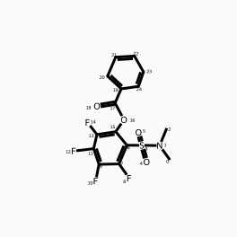 CN(C)S(=O)(=O)c1c(F)c(F)c(F)c(F)c1OC(=O)c1ccccc1